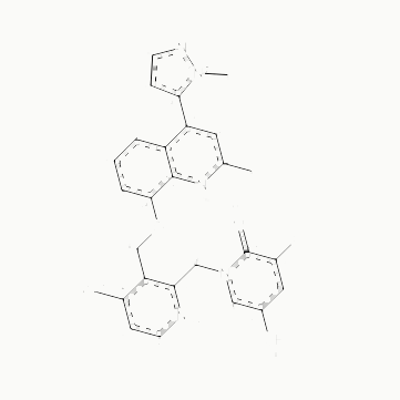 Cc1cc(-c2ccnn2C)c2cccc(OCc3c(Cl)ccnc3Cn3cc(C(F)(F)F)cc(Cl)c3=O)c2n1